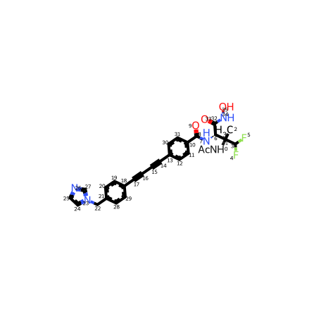 CC(=O)NC(C)(C(F)F)[C@H](NC(=O)c1ccc(C#CC#Cc2ccc(Cn3ccnc3)cc2)cc1)C(=O)NO